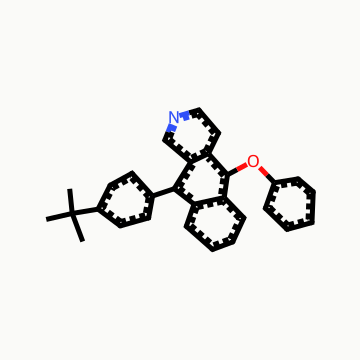 CC(C)(C)c1ccc(-c2c3ccccc3c(Oc3ccccc3)c3ccncc23)cc1